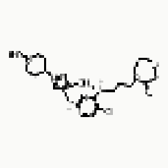 Cc1nn(C2CCN(C(C)C)CC2)cc1Nc1ncc(Cl)c(NCCCN2CCCOCC2=O)n1